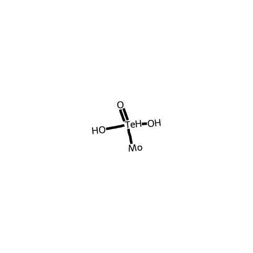 O=[TeH](O)(O)[Mo]